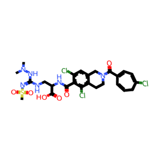 CN(C)N/C(=N/S(C)(=O)=O)NCC(NC(=O)c1c(Cl)cc2c(c1Cl)CCN(C(=O)C1=CC=C(Cl)CC=C1)C2)C(=O)O